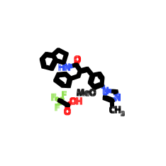 COc1cc(C=C(Cc2ccccc2)C(=O)NC2CCc3ccccc32)ccc1-n1cnc(C)c1.O=C(O)C(F)(F)F